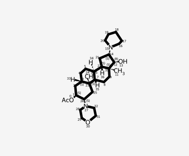 CC(=O)O[C@H]1C[C@@H]2CC[C@@H]3[C@H](CC[C@]4(C)[C@@H](O)[C@@H](N5CCCCC5)C[C@@H]34)[C@@]2(C)C[C@@H]1N1CCOCC1